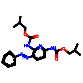 CC(C)COC(=O)Nc1ccc(/N=N/c2ccccc2)c(NC(=O)OCC(C)C)n1